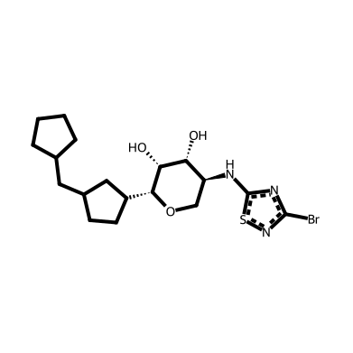 O[C@@H]1[C@H](O)[C@@H](Nc2nc(Br)ns2)CO[C@@H]1C1CCC(CC2CCCC2)C1